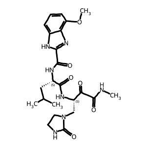 CNC(=O)C(=O)[C@H](CN1CCNC1=O)NC(=O)[C@H](CC(C)C)NC(=O)c1nc2c(OC)cccc2[nH]1